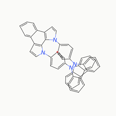 c1ccc2c(c1)c1ccn(-c3ccc(-n4c5ccccc5c5ccccc54)cc3)c1c1c2ccn1-c1ccc(-n2c3ccccc3c3ccccc32)cc1